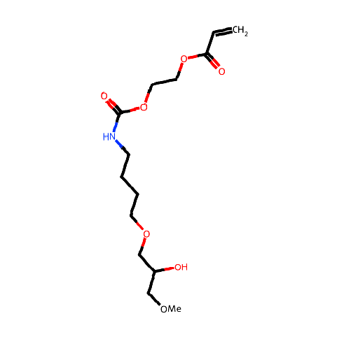 C=CC(=O)OCCOC(=O)NCCCCOCC(O)COC